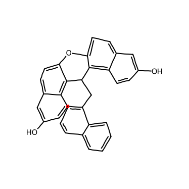 Oc1ccc2c3c(ccc2c1)Oc1ccc2cc(O)ccc2c1C3Cc1cccc2ccccc12